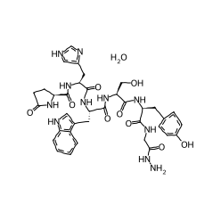 NNC(=O)CNC(=O)[C@H](Cc1ccc(O)cc1)NC(=O)[C@H](CO)NC(=O)[C@H](Cc1c[nH]c2ccccc12)NC(=O)[C@H](Cc1c[nH]cn1)NC(=O)[C@@H]1CCC(=O)N1.O